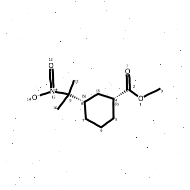 COC(=O)[C@@H]1CCC[C@H](C(C)(C)[N+](=O)[O-])C1